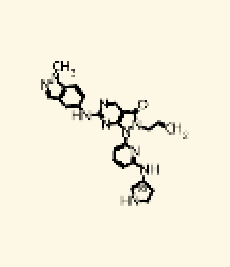 C=CCn1c(=O)c2cnc(Nc3ccc4c(cnn4C)c3)nc2n1-c1cccc(N[C@@H]2CCNC2)n1